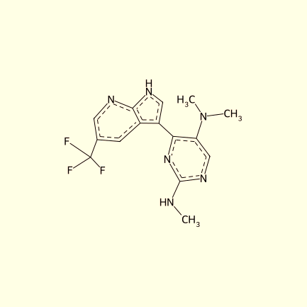 CNc1ncc(N(C)C)c(-c2c[nH]c3ncc(C(F)(F)F)cc23)n1